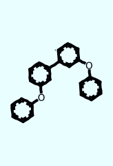 [c]1ccc(Oc2ccccc2)cc1-c1cccc(Oc2ccccc2)c1